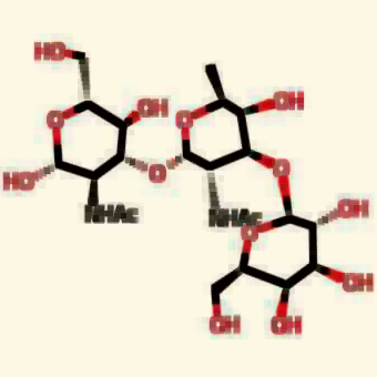 CC(=O)N[C@@H]1[C@H](O[C@H]2[C@H](O)[C@@H](CO)O[C@@H](O)[C@@H]2NC(C)=O)O[C@@H](C)[C@@H](O)[C@H]1O[C@@H]1O[C@H](CO)[C@H](O)[C@H](O)[C@H]1O